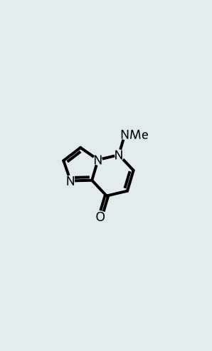 CNn1ccc(=O)c2nccn21